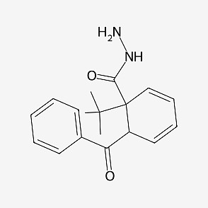 CC(C)(C)C1(C(=O)NN)C=CC=CC1C(=O)c1ccccc1